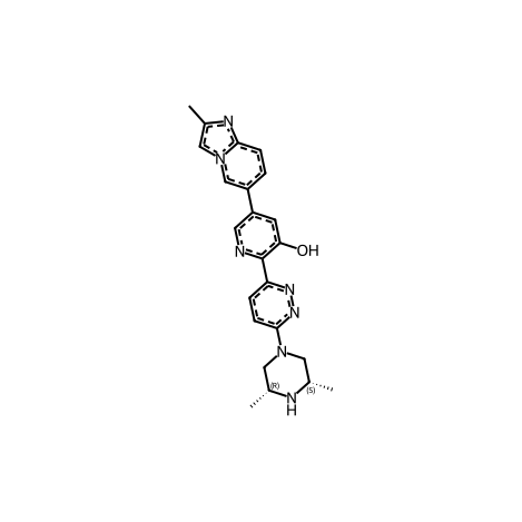 Cc1cn2cc(-c3cnc(-c4ccc(N5C[C@@H](C)N[C@@H](C)C5)nn4)c(O)c3)ccc2n1